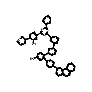 N#Cc1ccc(-c2cccc(-c3cccc(-c4nc(-c5ccccc5)nc(-c5ccc(-c6ccccc6)c(C#N)c5)n4)c3)c2)c(-c2ccc(-c3ccc4ccc5ccccc5c4c3)cc2)c1